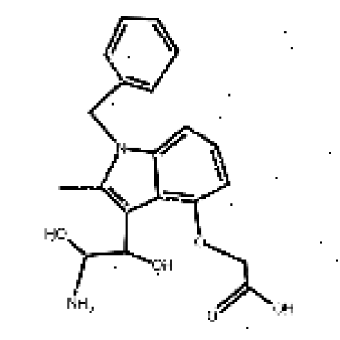 Cc1c(C(O)C(N)O)c2c(OCC(=O)O)cccc2n1Cc1ccccc1